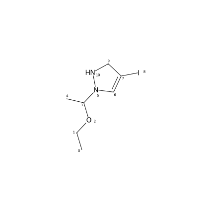 CCOC(C)N1C=C(I)CN1